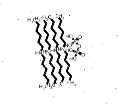 CCCCCCNCCCCCC.CCCCCCNCCCCCC.CCCCCCNCCCCCC.CCCCCCNCCCCCC.O=P(O)(O)OP(=O)(O)O